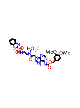 COc1ccc(COC(=O)Nc2ncnc3c2ncn3CC(=O)N(CCNS(=O)(=O)c2nc3ccccc3s2)CC(=O)O)cc1OC